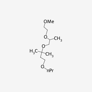 CCCOCCC(C)(C)OCC(C)OCCOC